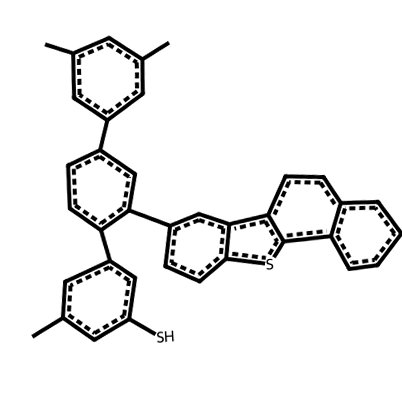 Cc1cc(C)cc(-c2ccc(-c3cc(C)cc(S)c3)c(-c3ccc4sc5c6ccccc6ccc5c4c3)c2)c1